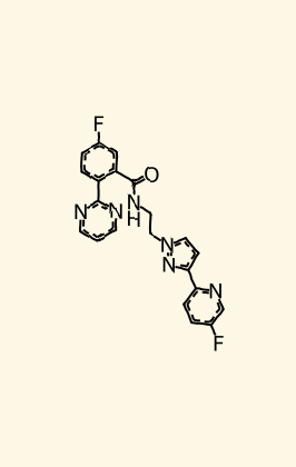 O=C(NCCn1ccc(-c2ccc(F)cn2)n1)c1cc(F)ccc1-c1ncccn1